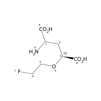 NC(C[C@H](OCCF)C(=O)O)C(=O)O